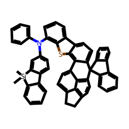 C[Si]1(C)c2ccccc2-c2ccc(N(c3ccccc3)c3cccc4c3sc3c5c(ccc34)C3(c4ccccc4-c4ccccc43)c3ccc4c6c(ccc-5c36)CC4)cc21